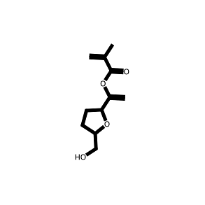 C=C(C)C(=O)OC(=C)C1CCC(CO)O1